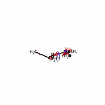 CCCCCCCCCCCCCCCCC1(C)CCc2c(C)c(OCCOC(=O)NCCCCCC(=O)N3CC(O)CC3C(OCc3ccccc3)(c3ccc(OC)cc3)c3ccc(OC)cc3)c(C)c(C)c2O1